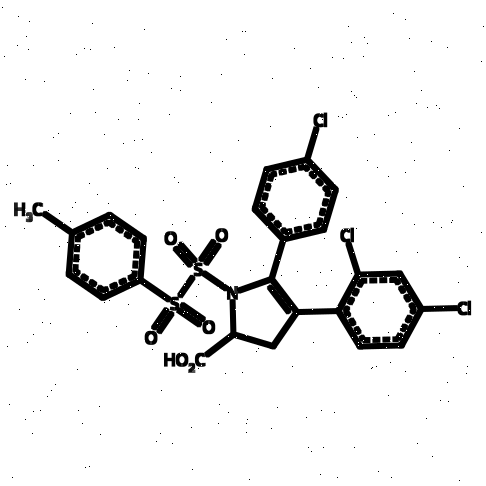 Cc1ccc(S(=O)(=O)S(=O)(=O)N2C(c3ccc(Cl)cc3)=C(c3ccc(Cl)cc3Cl)CC2C(=O)O)cc1